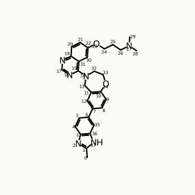 Cc1nc2ccc(-c3ccc4c(c3)CN(c3ncnc5ccc(OCCCN(C)C)cc35)CCO4)cc2[nH]1